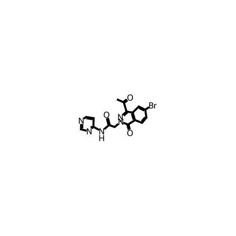 CC(=O)c1nn(CC(=O)Nc2ccncn2)c(=O)c2ccc(Br)cc12